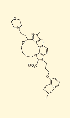 CCOC(=O)c1c(CCCOc2cccc3cc(F)ccc23)c2ccc(F)c3c2n1CCCCOC(CCN1CCOCC1)c1nn(C)c(C)c1-3